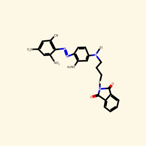 CCN(CCCCN1C(=O)c2ccccc2C1=O)c1ccc(/N=N/c2c(C#N)cc([N+](=O)[O-])cc2[N+](=O)[O-])c(NC(C)=O)c1